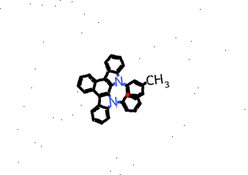 Cc1cccc(-n2c3ccccc3c3c4ccccc4c4c5ccccc5n(-c5ccccc5)c4c32)c1